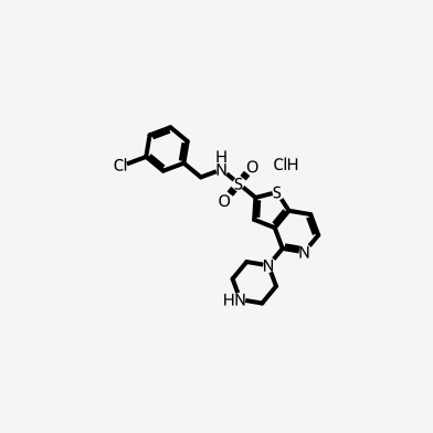 Cl.O=S(=O)(NCc1cccc(Cl)c1)c1cc2c(N3CCNCC3)nccc2s1